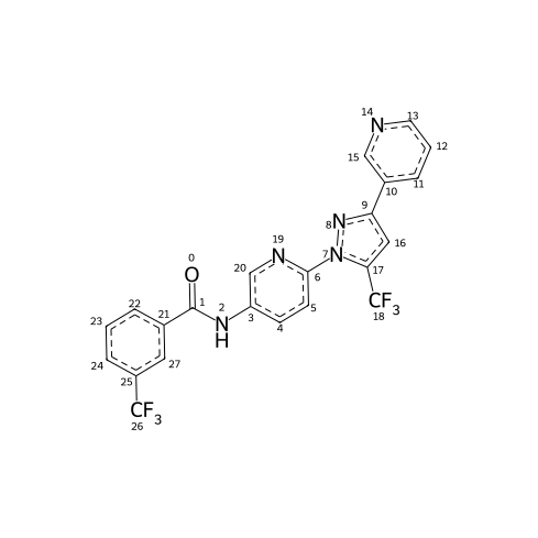 O=C(Nc1ccc(-n2nc(-c3cccnc3)cc2C(F)(F)F)nc1)c1cccc(C(F)(F)F)c1